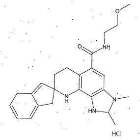 COCCNC(=O)c1cc2c(c3c1CCC1(C=C4CC=CC=C4C1)N3)NC(C)N2C.Cl